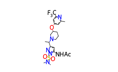 CC(=O)Nc1cc(C(C)N2CCCC(Oc3cc(C)nc(C(F)(F)F)c3)C2)nn1S(=O)(=O)N(C)C